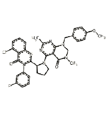 COc1ccc(CN2CN(C)C(=O)c3c2nc(C)nc3N2CCCC2c2nc3cccc(Cl)c3c(=O)n2-c2cccc(F)c2)cc1